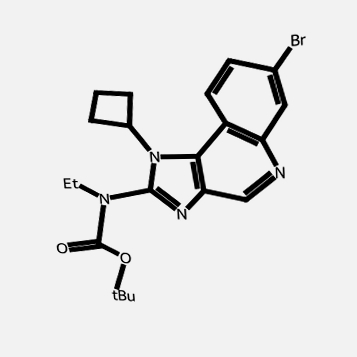 CCN(C(=O)OC(C)(C)C)c1nc2cnc3cc(Br)ccc3c2n1C1CCC1